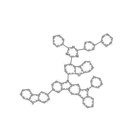 c1ccc(-c2ccc(-c3nc(-c4ccccc4)nc(-c4ccc(-n5c6ccc(-c7ccc8sc9ccccc9c8c7)cc6c6cc7c8ccccc8n(-c8ccccc8)c7cc65)c5oc6ccccc6c45)n3)cc2)cc1